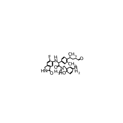 Cc1cc(C(Nc2cc3c(cc2F)CNC3=O)C(=O)N(C)Cc2cc(N)ccc2O)ccc1[C@@H](C)CCC=O